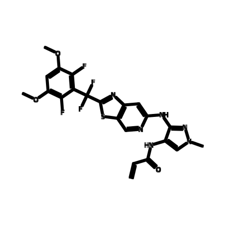 C=CC(=O)Nc1cn(C)nc1Nc1cc2nc(C(F)(F)c3c(F)c(OC)cc(OC)c3F)sc2cn1